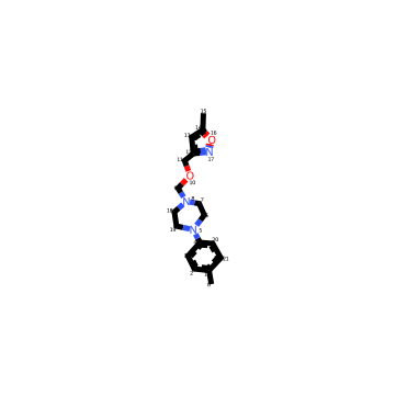 Cc1ccc(N2CCN(COCc3cc(C)on3)CC2)cc1